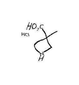 CC1(C(=O)O)CNC1.Cl